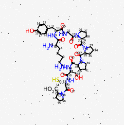 NCCCC[C@H](N)C(=O)N[C@@H](Cc1ccc(O)cc1)C(=O)NCC(=O)N1CCC[C@H]1C(=O)N1CCC[C@H]1C(=O)N1CCC[C@H]1C(=O)N[C@@H](CO)C(=O)N[C@@H](CS)C(=O)N1CCC[C@H]1C(=O)O